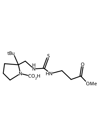 COC(=O)CCNC(=S)NCC1(C(C)(C)C)CCCN1C(=O)O